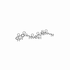 COc1cc2c(cc1OCCCC(=O)Nc1cc(C(=O)Nc3cn(C)c(C(=O)NCCCN(C)C)n3)n(C)c1)N=C[C@@H]1CCCN1C2=O